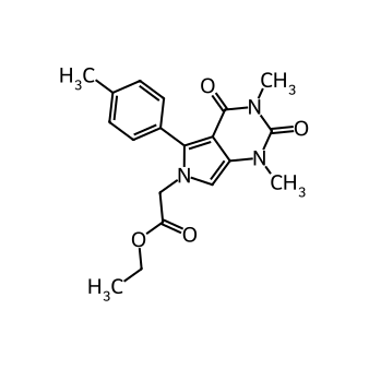 CCOC(=O)Cn1cc2c(c1-c1ccc(C)cc1)c(=O)n(C)c(=O)n2C